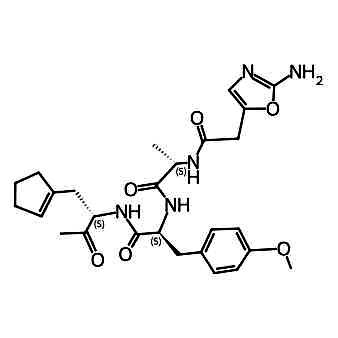 COc1ccc(C[C@H](NC(=O)[C@H](C)NC(=O)Cc2cnc(N)o2)C(=O)N[C@@H](CC2=CCCC2)C(C)=O)cc1